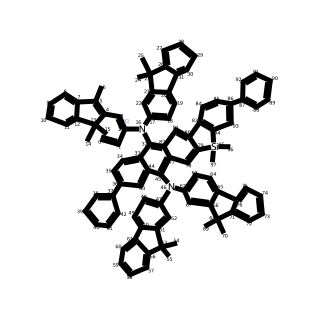 C=C/C(=C\C1=C(C)c2ccccc2C1(C)C)N(c1ccc2c(c1)C(C)(C)c1ccccc1-2)c1c2ccc(-c3ccccc3)cc2c(N(c2ccc3c(c2)C(C)(C)c2ccccc2-3)c2ccc3c(c2)C(C)(C)c2ccccc2-3)c2cc3c(cc12)-c1ccc(-c2ccccc2)cc1[Si]3(C)C